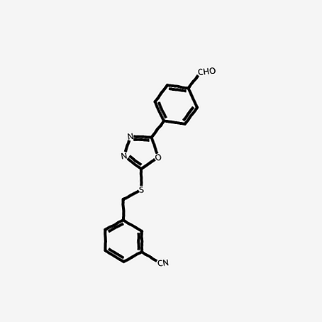 N#Cc1cccc(CSc2nnc(-c3ccc(C=O)cc3)o2)c1